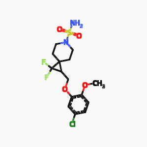 COc1ccc(Cl)cc1OCC1C(F)(F)C12CCN(S(N)(=O)=O)CC2